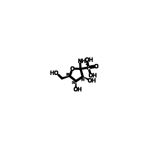 NC1(P(=O)(O)O)O[C@H](CO)[C@@H](O)[C@H]1O